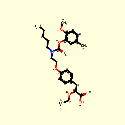 CCCCCN(CCOc1ccc(CC(OCC)C(=O)O)cc1)C(=O)Oc1cc(C)ccc1OC